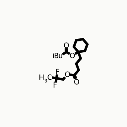 CCC(C)C(=O)OC1(CCCC(=O)OCC(C)(F)F)CCCCC1